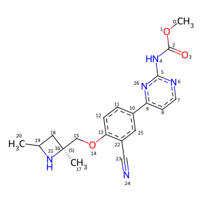 COC(=O)Nc1nccc(-c2ccc(OC[C@]3(C)CC(C)N3)c(C#N)c2)n1